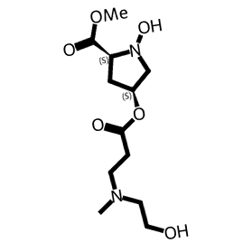 COC(=O)[C@@H]1C[C@H](OC(=O)CCN(C)CCO)CN1O